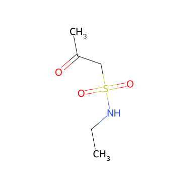 CCNS(=O)(=O)CC(C)=O